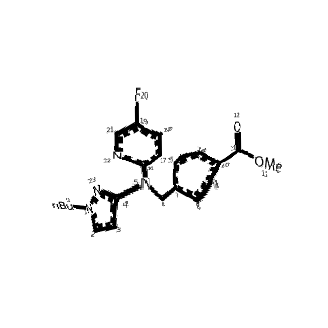 CCCCn1ccc(N(Cc2ccc(C(=O)OC)cc2)c2ccc(F)cn2)n1